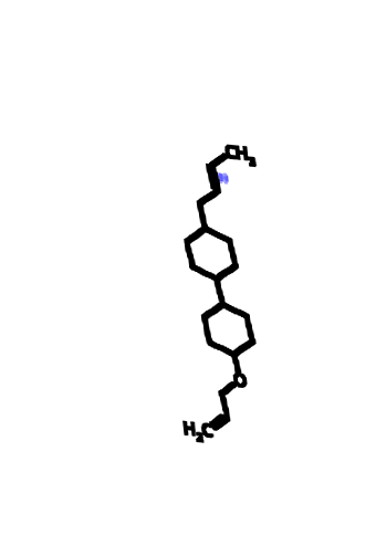 C=CCOC1CCC(C2CCC(C/C=C/C)CC2)CC1